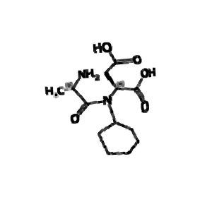 C[C@H](N)C(=O)N(C1CCCCC1)[C@@H](CC(=O)O)C(=O)O